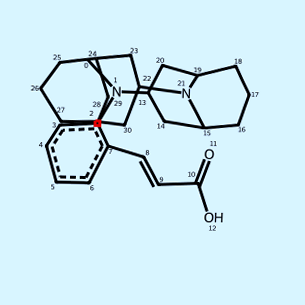 CN(c1ccccc1/C=C/C(=O)O)C1CC2CCCC(C1)N2C1CC2CCCC(C2)C1